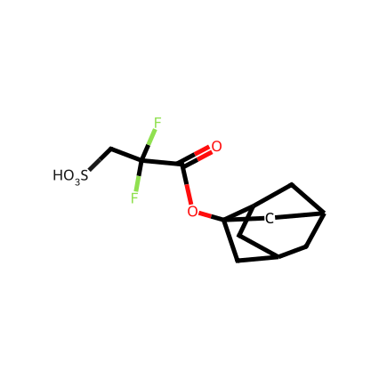 O=C(OC12CC3CC(CC1C3)C2)C(F)(F)CS(=O)(=O)O